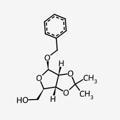 CC1(C)O[C@H]2[C@H](OCc3ccccc3)O[C@H](CO)[C@H]2O1